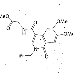 COC(=O)CNC(=O)c1cn(CC(C)C)c(=O)c2cc(OC)c(OC)cc12